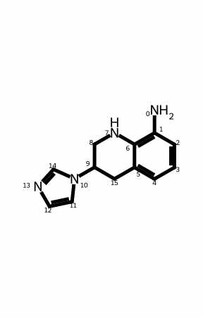 Nc1cccc2c1NCC(n1ccnc1)C2